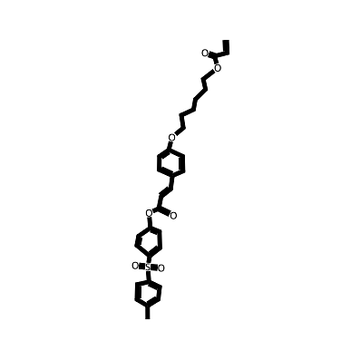 C=CC(=O)OCCCCCCOc1ccc(/C=C/C(=O)Oc2ccc(S(=O)(=O)c3ccc(C)cc3)cc2)cc1